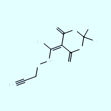 C#CCONC(C)=C1C(=O)OC(C)(C)OC1=O